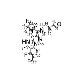 Cc1nc(N[C@H](C)c2cccc(C(F)F)c2F)c2cn(C3(CF)CC3)c(=O)c(N3CCN(C4COC4)CC3)c2n1